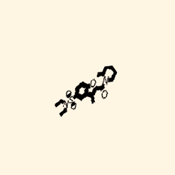 CCN(CC)S(=O)(=O)c1ccc2oc(C(=O)N3CCCCC3C)c(C)c2c1